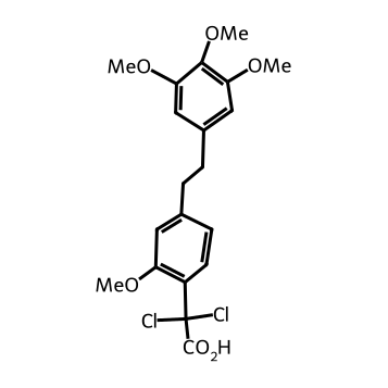 COc1cc(CCc2cc(OC)c(OC)c(OC)c2)ccc1C(Cl)(Cl)C(=O)O